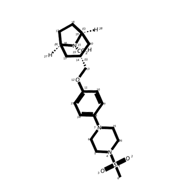 CS(=O)(=O)N1CCN(c2ccc(OC[C@@H]3C[C@H]4CC[C@@H](C3)N4C(=O)O)cc2)CC1